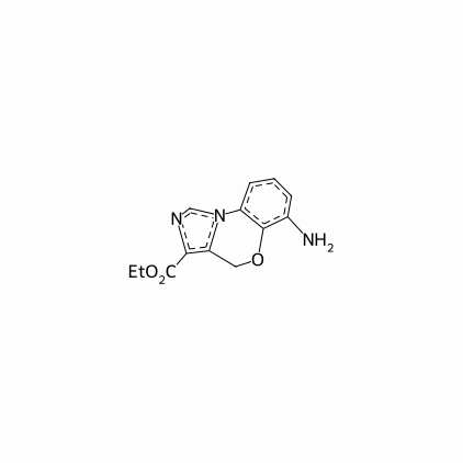 CCOC(=O)c1ncn2c1COc1c(N)cccc1-2